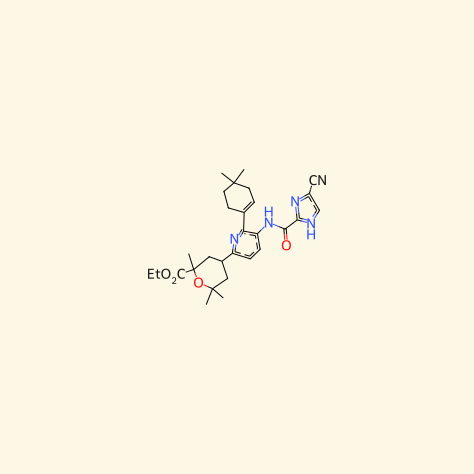 CCOC(=O)C1(C)CC(c2ccc(NC(=O)c3nc(C#N)c[nH]3)c(C3=CCC(C)(C)CC3)n2)CC(C)(C)O1